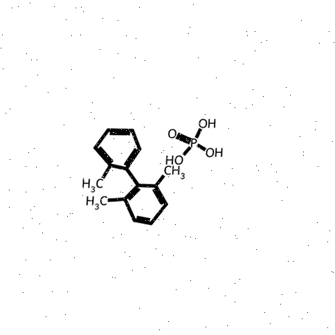 Cc1ccccc1-c1c(C)cccc1C.O=P(O)(O)O